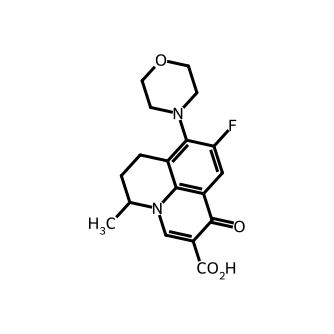 CC1CCc2c(N3CCOCC3)c(F)cc3c(=O)c(C(=O)O)cn1c23